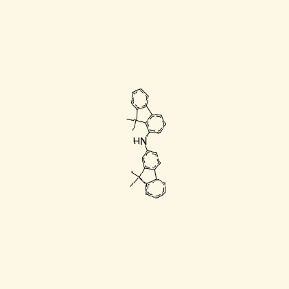 CC1(C)c2ccccc2-c2ccc(Nc3cccc4c3C(C)(C)c3ccccc3-4)cc21